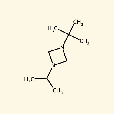 CC(C)N1CN(C(C)(C)C)C1